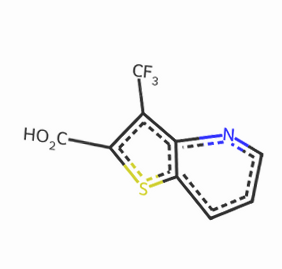 O=C(O)c1sc2cccnc2c1C(F)(F)F